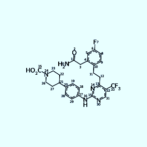 NC(=O)Cc1cc(F)ccc1CCc1nc(Nc2ccc(C3CCN(C(=O)O)CC3)cc2)ncc1C(F)(F)F